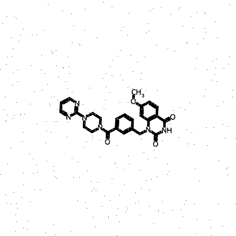 COc1ccc2c(=O)[nH]c(=O)n(Cc3cccc(C(=O)N4CCN(c5ncccn5)CC4)c3)c2c1